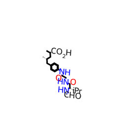 CC(C[C@@H](C)Cc1ccc(NC(=O)CNC(=O)[C@@H](NC=O)C(C)C)cc1)C(=O)O